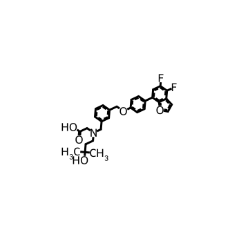 CC(C)(O)CCN(CC(=O)O)Cc1cccc(COc2ccc(-c3cc(F)c(F)c4ccoc34)cc2)c1